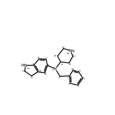 c1ccc(CN(c2ccc3c(c2)CCN3)C2CCNCC2)cc1